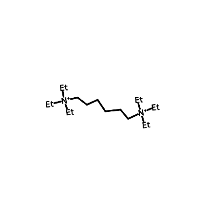 CC[N+](CC)(CC)CCCCCC[N+](CC)(CC)CC